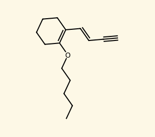 C#CC=CC1=C(OCCCCC)CCCC1